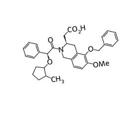 COc1ccc2c(c1OCc1ccccc1)C[C@H](CC(=O)O)N(C(=O)[C@@H](OC1CCCC1C)c1ccccc1)C2